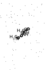 Cc1cc(-c2ccc(NC(=O)NC(C)c3cc4ccccc4o3)cc2)ccn1